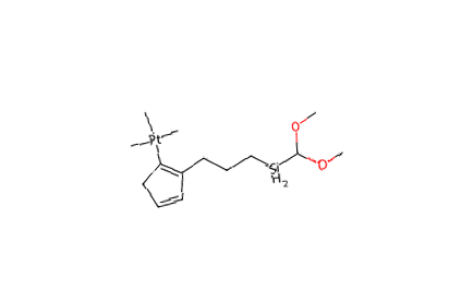 COC(OC)[SiH2]CCCC1=[C]([Pt]([CH3])([CH3])[CH3])CC=C1